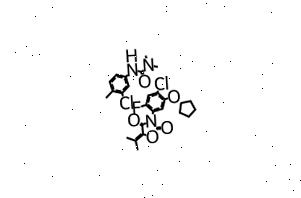 CC(C)=C1OC(=O)N(c2cc(OC3CCCC3)c(Cl)cc2F)C1=O.Cc1ccc(NC(=O)N(C)C)cc1Cl